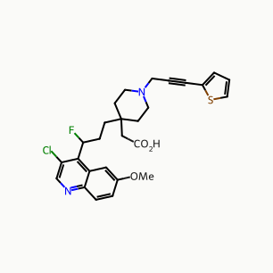 COc1ccc2ncc(Cl)c(C(F)CCC3(CC(=O)O)CCN(CC#Cc4cccs4)CC3)c2c1